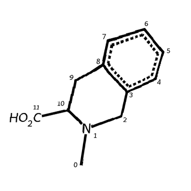 CN1Cc2ccccc2CC1C(=O)O